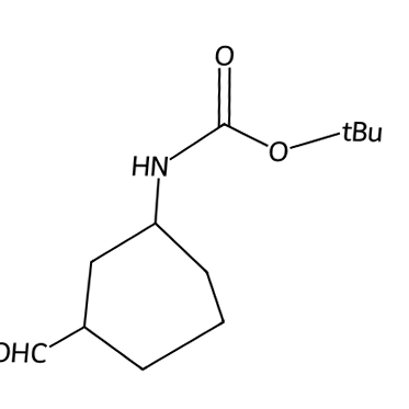 CC(C)(C)OC(=O)NC1CCCC([C]=O)C1